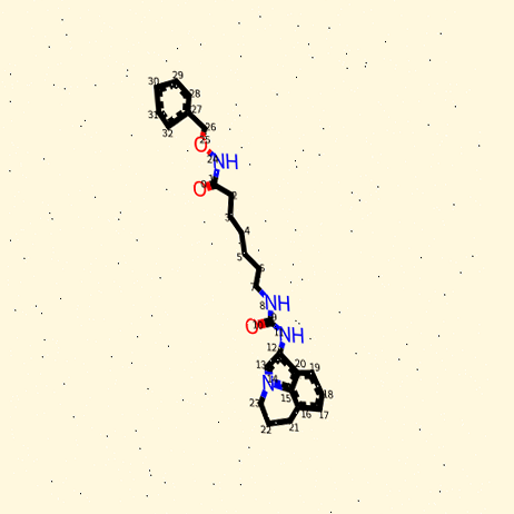 O=C(CCCCCCNC(=O)Nc1cn2c3c(cccc13)CCC2)NOCc1ccccc1